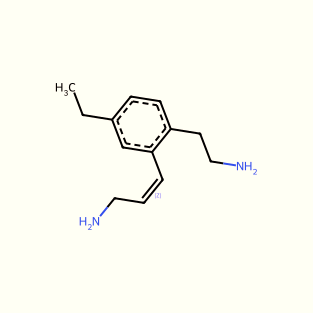 CCc1ccc(CCN)c(/C=C\CN)c1